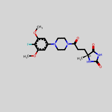 COc1cc(N2CCN(C(=O)CC[C@@]3(C)NC(=O)NC3=O)CC2)cc(OC)c1F